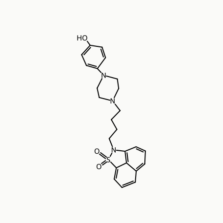 O=S1(=O)c2cccc3cccc(c23)N1CCCCN1CCN(c2ccc(O)cc2)CC1